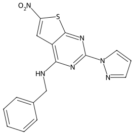 O=[N+]([O-])c1cc2c(NCc3ccccc3)nc(-n3cccn3)nc2s1